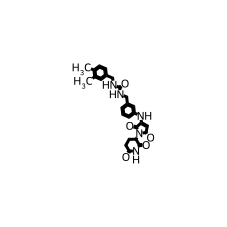 Cc1ccc(CNC(=O)NCc2cccc(NC3=CC(=O)N(C4CCC(=O)NC4=O)C3=O)c2)cc1C